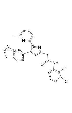 Cc1cccc(-n2nc(CC(=O)Nc3cccc(Cl)c3F)cc2-c2ccc3ncnn3c2)n1